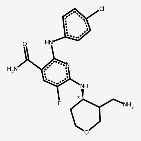 NCC1COCC[C@H]1Nc1nc(Nc2ccc(Cl)cc2)c(C(N)=O)cc1F